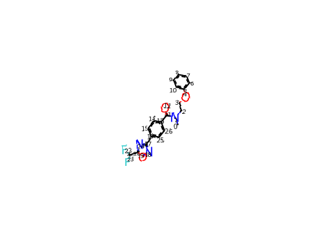 CN(CCOc1ccccc1)C(=O)c1ccc(-c2noc(C(F)F)n2)cc1